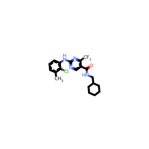 Cc1cccc(Nc2ncc(C(=O)NCC3CCCCC3)c(C(F)(F)F)n2)c1Cl